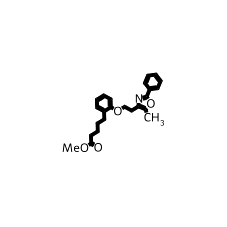 COC(=O)CCCCc1ccccc1OCCc1nc(-c2ccccc2)oc1C